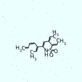 C=C/C=C\C(=C/C)C1=CC(=C/C)/C(=C\C)S(=O)(=O)N1